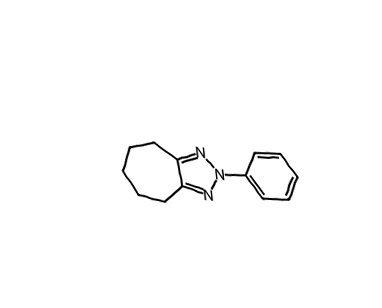 c1ccc(-n2nc3c(n2)CCCCC3)cc1